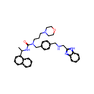 CC(NC(=O)N(CCCN1CCOCC1)Cc1ccc(CNCc2nc3ccccc3[nH]2)cc1)c1cccc2ccccc12